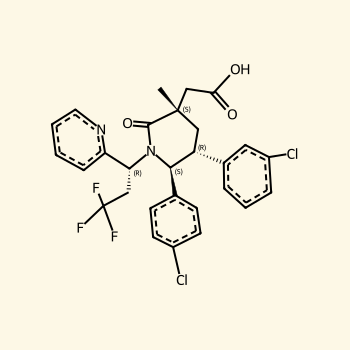 C[C@@]1(CC(=O)O)C[C@H](c2cccc(Cl)c2)[C@@H](c2ccc(Cl)cc2)N([C@H](CC(F)(F)F)c2ccccn2)C1=O